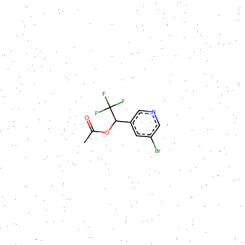 CC(=O)OC(c1cncc(Br)c1)C(F)(F)F